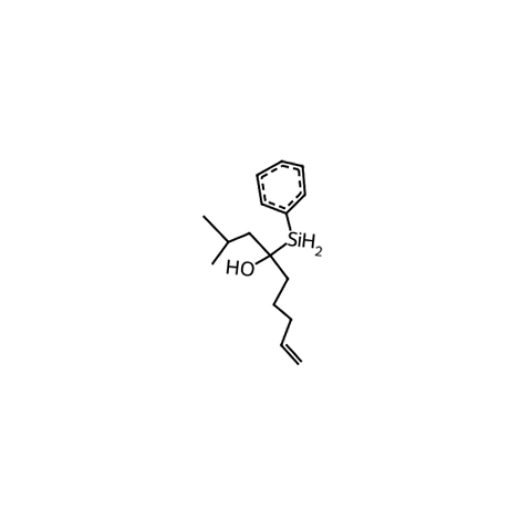 C=CCCCC(O)(CC(C)C)[SiH2]c1ccccc1